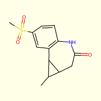 CC1C2CC(=O)Nc3ccc(S(C)(=O)=O)cc3C12